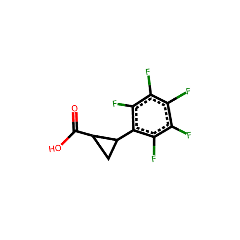 O=C(O)C1CC1c1c(F)c(F)c(F)c(F)c1F